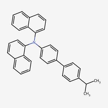 CC(C)c1ccc(-c2ccc(N(c3cccc4ccccc34)c3cccc4ccccc34)cc2)cc1